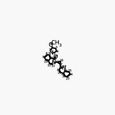 COC1CCCN(c2cccc3ccn(C4CC4c4ccc5ccccc5n4)c(=O)c23)C1